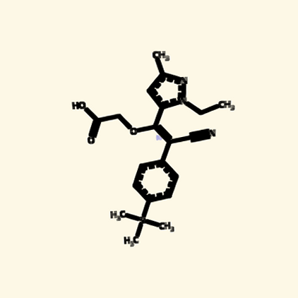 CCn1nc(C)cc1/C(OCC(=O)O)=C(\C#N)c1ccc([Si](C)(C)C)cc1